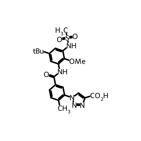 COc1c(NC(=O)c2ccc(C)c(-n3cc(C(=O)O)nn3)c2)cc(C(C)(C)C)cc1NS(C)(=O)=O